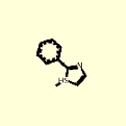 C[SH]1C=[C]N=C1c1ccccc1